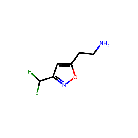 NCCc1cc(C(F)F)no1